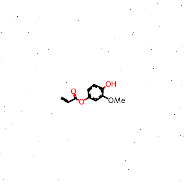 C=CC(=O)Oc1ccc(O)c(OC)c1